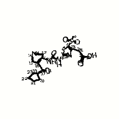 CS(=O)(=O)c1sc(NC(=O)Nc2cnccc2C(=O)C2CCCC2)nc1CC(=O)O